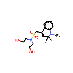 CCN1c2ccccc2C(CS(=O)(=O)N(CCO)CCO)=CC1(C)C